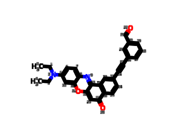 CCN(CC)c1ccc2nc3c4cc(C#Cc5cccc(C=O)c5)ccc4c(=O)cc-3oc2c1